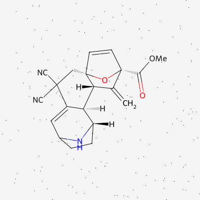 C=C1[C@@H]2[C@@H]3C(=CC4CC[C@@H]3N4)C(C#N)(C#N)C[C@@]23C=C[C@]1(C(=O)OC)O3